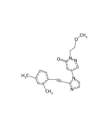 COCCn1ncc(-n2ccnc2C#Cc2ccc(C)cc2C)cc1=O